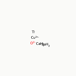 [BaH2].[CaH2].[Cu+2].[O-2].[Tl]